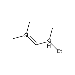 CC[SiH](C)C=[Si](C)C